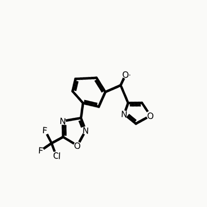 [O]C(c1cccc(-c2noc(C(F)(F)Cl)n2)c1)c1cocn1